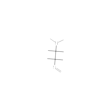 C=NC(C)(C)C(C)(C)N(C)C